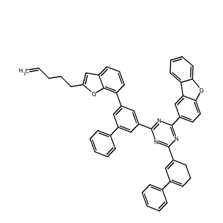 C=CCCCc1cc2cccc(-c3cc(-c4ccccc4)cc(-c4nc(C5=CC(c6ccccc6)=CCC5)nc(-c5ccc6oc7ccccc7c6c5)n4)c3)c2o1